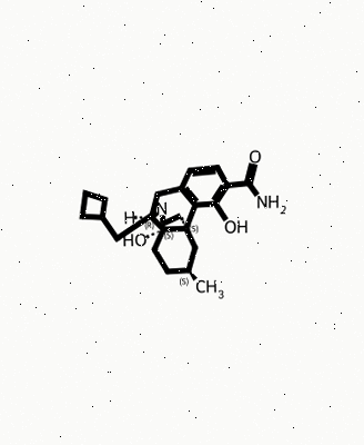 C[C@H]1CC[C@@]2(O)[C@H]3Cc4ccc(C(N)=O)c(O)c4[C@@]2(CCN3CC2CCC2)C1